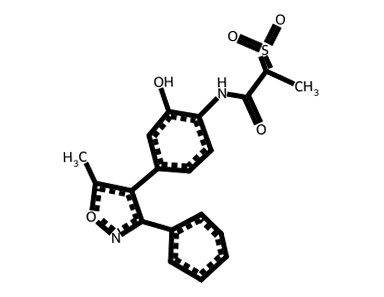 CC(C(=O)Nc1ccc(-c2c(-c3ccccc3)noc2C)cc1O)=S(=O)=O